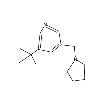 CC(C)(C)c1cncc(CN2CCCC2)c1